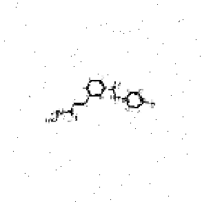 O=C(/C=C/c1cccc(C(=O)Nc2ccc(Br)cc2)c1)NO